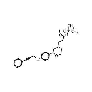 CC(C)(C)OC(=O)CCN1CCOC(c2ccc(OCC#Cc3ccccc3)cc2)C1